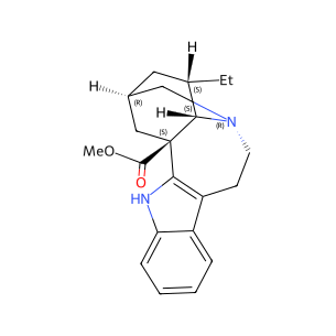 CC[C@H]1C[C@H]2C[N@]3CCc4c([nH]c5ccccc45)[C@](C(=O)OC)(C2)[C@H]13